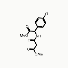 COC(=O)CC(=O)NC(C(=O)OC)c1ccc(Cl)cc1